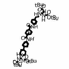 CC(C)(C)OC(=O)/N=C(/NC(=O)OC(C)(C)C)N1CC=C(c2ccc(NC(=O)C34CCC(C(=O)Nc5ccc(CCN/C(=N\C(=O)OC(C)(C)C)NC(=O)OC(C)(C)C)cc5)(CC3)CC4)cc2)CC1